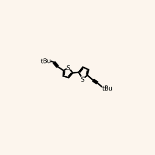 CC(C)(C)C#Cc1ccc(-c2ccc(C#CC(C)(C)C)s2)s1